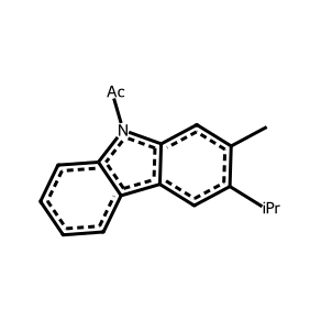 CC(=O)n1c2ccccc2c2cc(C(C)C)c(C)cc21